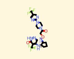 O=C(CO/N=C1\CCC[C@@H]1Nc1cn[nH]c(=O)c1C(F)(F)F)N1CCN(c2ncc(C(F)(F)F)cn2)CC1